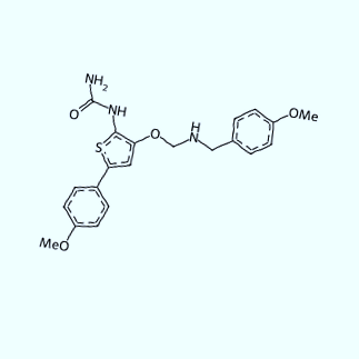 COc1ccc(CNCOc2cc(-c3ccc(OC)cc3)sc2NC(N)=O)cc1